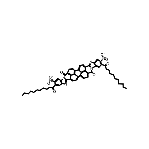 CCCCCCCCCCC(=O)c1cc2c(cc1[N+](=O)[O-])nc1c3ccc4c5ccc6c(=O)n7c8cc([N+](=O)[O-])c(C(=O)CCCCCCCCCC)cc8nc7c7ccc(c8ccc(c(=O)n21)c3c48)c5c67